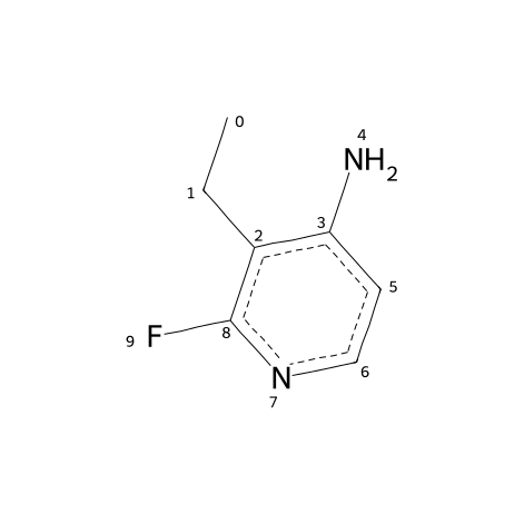 CCc1c(N)ccnc1F